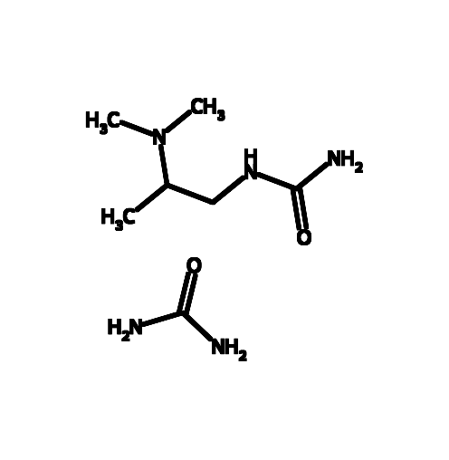 CC(CNC(N)=O)N(C)C.NC(N)=O